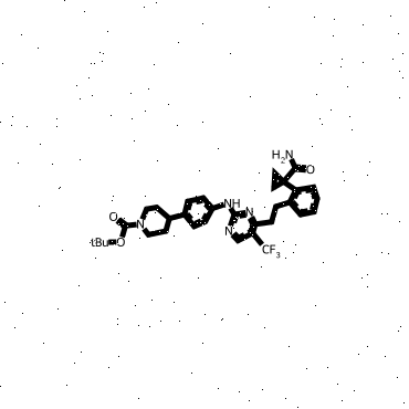 CC(C)(C)OC(=O)N1CCC(c2ccc(Nc3ncc(C(F)(F)F)c(CCc4ccccc4C4(C(N)=O)CC4)n3)cc2)CC1